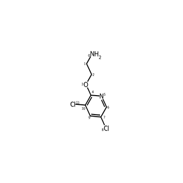 NCCOc1ncc(Cl)cc1Cl